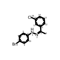 CC(=NNc1ccc(Br)cc1)c1cccc(Cl)c1